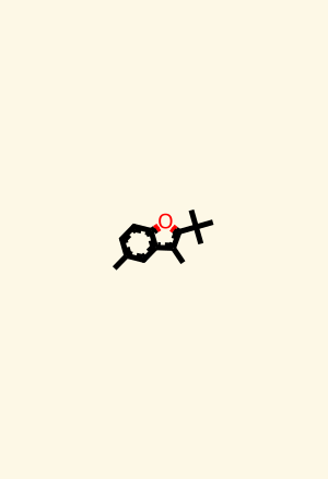 Cc1ccc2oc(C(C)(C)C)c(C)c2c1